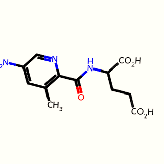 Cc1cc(N)cnc1C(=O)NC(CCC(=O)O)C(=O)O